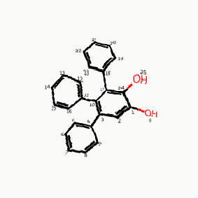 Oc1cc(-c2ccccc2)c(-c2ccccc2)c(-c2ccccc2)c1O